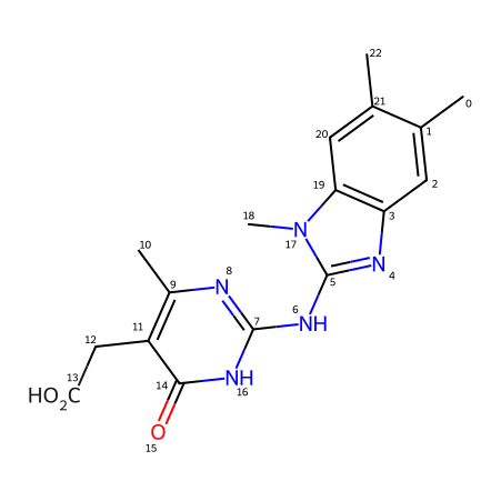 Cc1cc2nc(Nc3nc(C)c(CC(=O)O)c(=O)[nH]3)n(C)c2cc1C